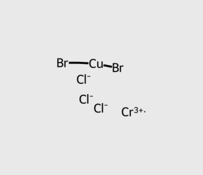 [Br][Cu][Br].[Cl-].[Cl-].[Cl-].[Cr+3]